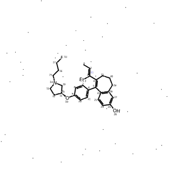 C/C=C(\CC)C1=C(c2ccc(O[C@H]3CCN(CCCF)C3)cc2)c2ccc(O)cc2CCC1